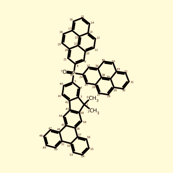 CC1(C)c2cc(P(=O)(c3cc4ccc5cccc6ccc(c3)c4c56)c3cc4ccc5cccc6ccc(c3)c4c56)ccc2-c2cc3c4ccccc4c4ccccc4c3cc21